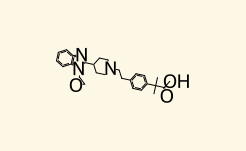 CC(C)(C(=O)O)c1ccc(CCN2CCC(c3nc4ccccc4n3C3CO3)CC2)cc1